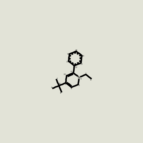 CCN1CC=C(C(C)(C)C)C=C1c1ccccc1